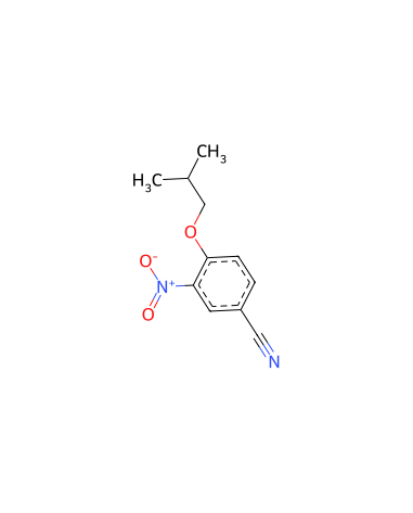 CC(C)COc1ccc(C#N)cc1[N+](=O)[O-]